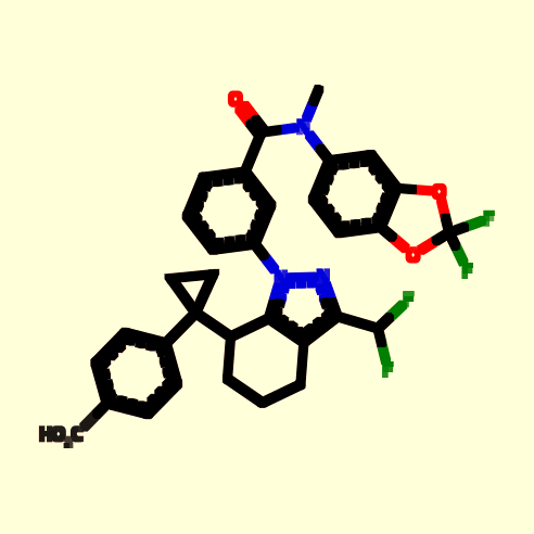 CN(C(=O)c1cccc(-n2nc(C(F)F)c3c2C(C2(c4ccc(C(=O)O)cc4)CC2)CCC3)c1)c1ccc2c(c1)OC(F)(F)O2